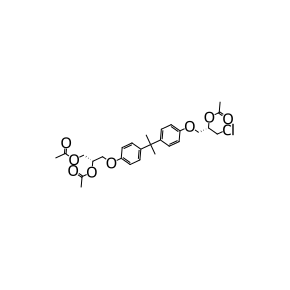 CC(=O)OC[C@H](COc1ccc(C(C)(C)c2ccc(OC[C@@H](CCl)OC(C)=O)cc2)cc1)OC(C)=O